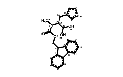 CN(C(=O)OCC1c2ccccc2-c2ccccc21)[C@@H](Cc1ccsc1)C(O)O